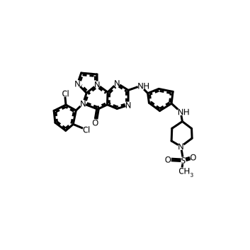 CS(=O)(=O)N1CCC(Nc2ccc(Nc3ncc4c(=O)n(-c5c(Cl)cccc5Cl)c5nccn5c4n3)cc2)CC1